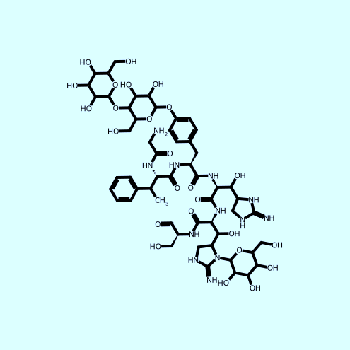 CC(c1ccccc1)[C@H](NC(=O)CN)C(=O)N[C@@H](Cc1ccc(OC2OC(CO)C(OC3OC(CO)C(O)C(O)C3O)C(O)C2O)cc1)C(=O)N[C@H](C(=O)N[C@H](C(=O)N[C@H]([C]=O)CO)C(O)C1CNC(=N)N1C1OC(CO)C(O)C(O)C1O)C(O)C1CNC(=N)N1